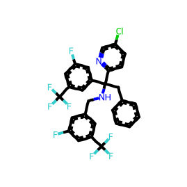 Fc1cc(CNC(Cc2ccccc2)(c2cc(F)cc(C(F)(F)F)c2)c2ccc(Cl)cn2)cc(C(F)(F)F)c1